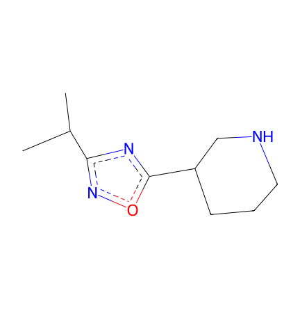 CC(C)c1noc(C2CCCNC2)n1